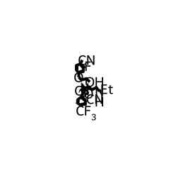 CCNCCCN(C[C@@H](CO)Oc1ccc(C#N)c(F)c1)S(=O)(=O)c1ccc(C(F)(F)F)cc1C#N